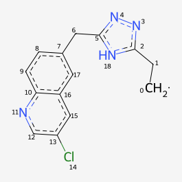 [CH2]Cc1nnc(Cc2ccc3ncc(Cl)cc3c2)[nH]1